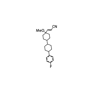 COC1(C=CC#N)CCC(C2CCC(c3ccc(F)cc3)CC2)CC1